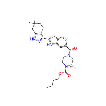 CCCCOC(=O)N1CCN(C(=O)c2ccc3cc(-c4n[nH]c5c4CCC(C)(C)C5)[nH]c3c2)C[C@@H]1C